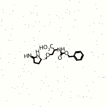 N=C1CC[C@@H](COC[C@H](NC(=O)OCc2ccccc2)C(=O)O)N1